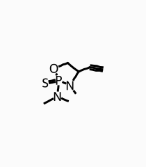 C#CC1COP(=S)(N(C)C)N1C